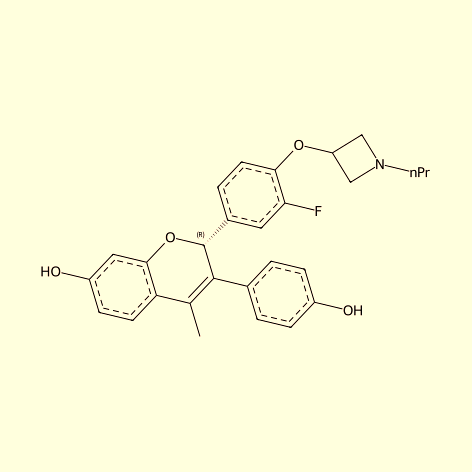 CCCN1CC(Oc2ccc([C@H]3Oc4cc(O)ccc4C(C)=C3c3ccc(O)cc3)cc2F)C1